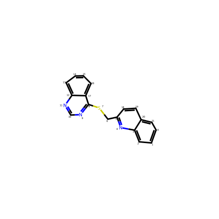 c1ccc2nc(CSc3ncnc4ccccc34)ccc2c1